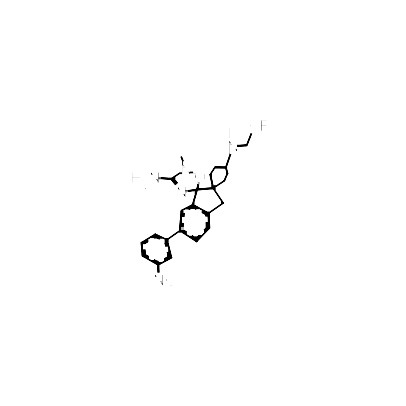 [C-]#[N+]c1cccc(-c2ccc3c(c2)C2(N=C(N)N(C)O2)C2(CCC(NCC(F)(F)F)CC2)C3)c1